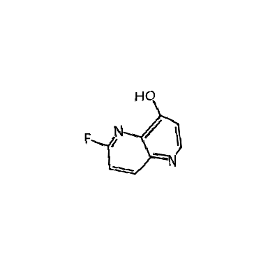 Oc1ccnc2ccc(F)nc12